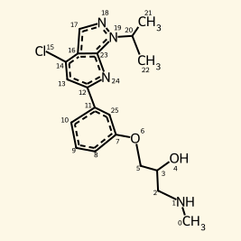 CNCC(O)COc1cccc(-c2cc(Cl)c3cnn(C(C)C)c3n2)c1